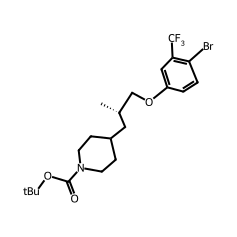 C[C@H](COc1ccc(Br)c(C(F)(F)F)c1)CC1CCN(C(=O)OC(C)(C)C)CC1